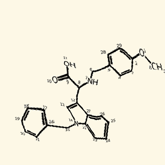 COc1ccc(CNC(C(=O)O)c2cn(Cc3ccccc3)c3ccccc23)cc1